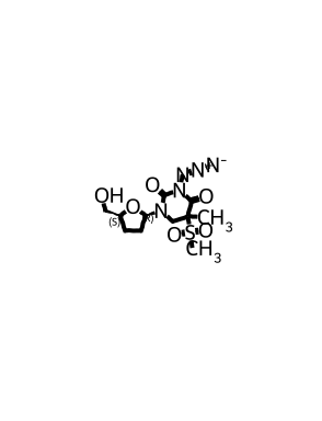 CC1(S(C)(=O)=O)CN([C@H]2CC[C@@H](CO)O2)C(=O)N(N=[N+]=[N-])C1=O